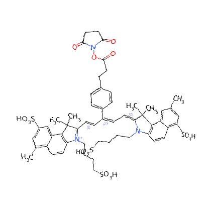 Cc1cc(S(=O)(=O)O)c2ccc3c(c2c1)C(C)(C)/C(=C/C=C(/C=C/C1=[N+](CCCCS(=O)(=O)O)c2ccc4c(C)cc(S(=O)(=O)O)cc4c2C1(C)C)c1ccc(CCC(=O)ON2C(=O)CCC2=O)cc1)N3CCCCS(=O)(=O)O